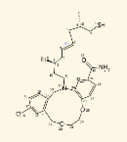 CC[C@@H](C/C=C/C[C@H](C)CS)CCN1Cc2ccc(Cl)cc2CCCCOc2ccc(C(N)=O)cc21